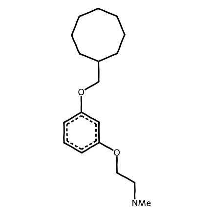 CNCCOc1cccc(OCC2CCCCCCC2)c1